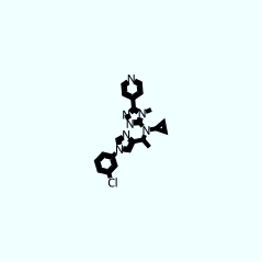 CC(c1cn(-c2cccc(Cl)c2)cn1)N(c1nnc(-c2ccncc2)n1C)C1CC1